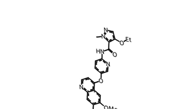 CCOc1cnn(C)c1C(=O)Nc1ccc(Oc2ccnc3cc(OC)c(OC)cc23)cn1